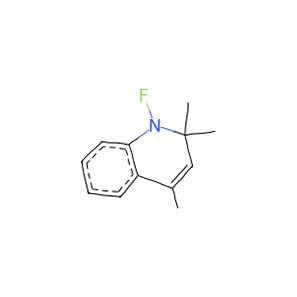 CC1=CC(C)(C)N(F)c2ccccc21